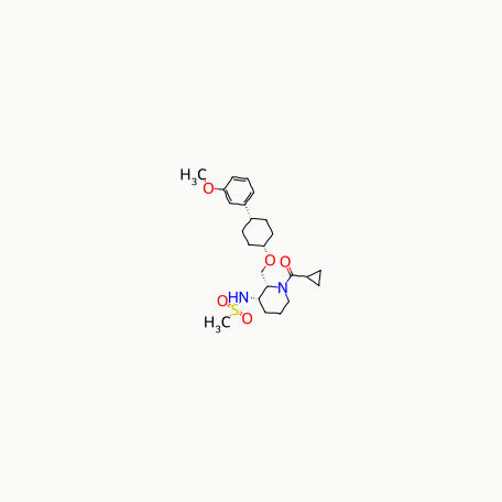 COc1cccc([C@H]2CC[C@@H](OC[C@H]3[C@@H](NS(C)(=O)=O)CCCN3C(=O)C3CC3)CC2)c1